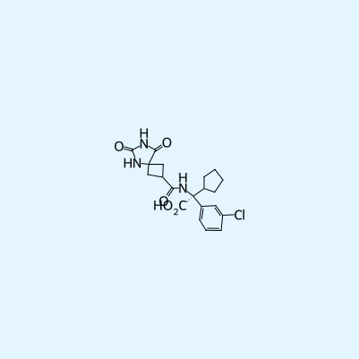 O=C1NC(=O)C2(CC(C(=O)N[C@](C(=O)O)(c3cccc(Cl)c3)C3CCCC3)C2)N1